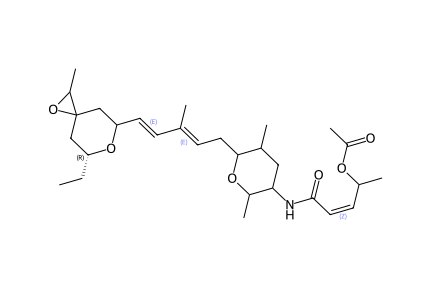 CC[C@@H]1CC2(CC(/C=C/C(C)=C/CC3OC(C)C(NC(=O)/C=C\C(C)OC(C)=O)CC3C)O1)OC2C